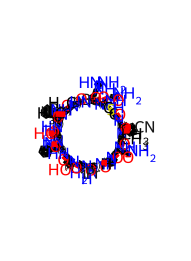 CCCC[C@H]1C(=O)N(C)[C@@H](CCCC)C(=O)N[C@@H](CCCNC(=N)N)C(=O)N[C@H](C(=O)NCC(N)=O)CSCC(=O)N[C@@H](Cc2cccc(C#N)c2)C(=O)N(C)[C@@H](C)C(=O)N[C@@H](CCC(N)=O)C(=O)N2CCC[C@H]2C(=O)N[C@@H](CN)C(=O)N[C@@H](CC(C)C)C(=O)N2C[C@H](O)CC2C(=O)N[C@@H](Cc2c[nH]c3ccccc23)C(=O)N[C@@H](CO)C(=O)N[C@@H](Cc2c[nH]c3ccccc23)C(=O)N1C